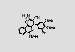 CNc1nc2c(c3ccccc13)OC(N)=C(C#N)C2c1cc(Br)c(OC)c(OC)c1